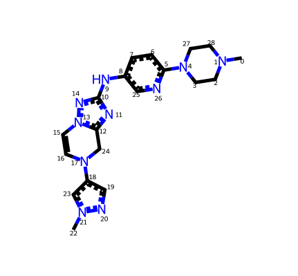 CN1CCN(c2ccc(Nc3nc4n(n3)C=CN(c3cnn(C)c3)C4)cn2)CC1